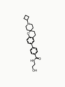 O=C(NCCO)c1ccc(-c2ccc3c(c2)CCC2(CCN(C4CCC4)CC2)O3)cc1